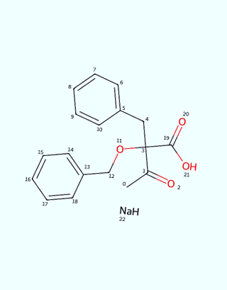 CC(=O)C(Cc1ccccc1)(OCc1ccccc1)C(=O)O.[NaH]